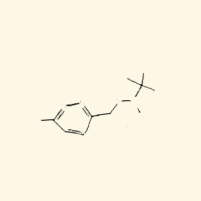 C[C@@H](N[S@+]([O-])C(C)(C)C)c1ccc(Br)nn1